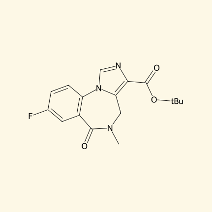 CN1Cc2c(C(=O)OC(C)(C)C)ncn2-c2ccc(F)cc2C1=O